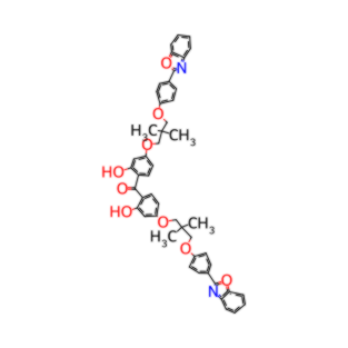 CC(C)(COc1ccc(-c2nc3ccccc3o2)cc1)COc1ccc(C(=O)c2ccc(OCC(C)(C)COc3ccc(-c4nc5ccccc5o4)cc3)cc2O)c(O)c1